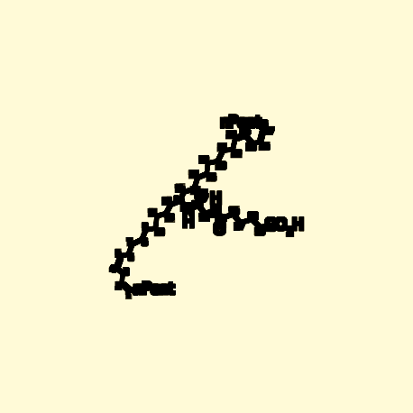 CCCCC/C=C\C/C=C\CCCCCCCCC(CCCCCCCC/C=C\C/C=C\CCCCC)NC(=O)CNC(=O)CCCCC(=O)O